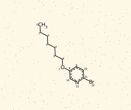 CCCCCCCOc1ccc(Br)nc1